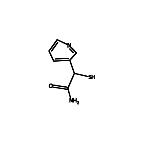 NC(=O)C(S)c1cccnc1